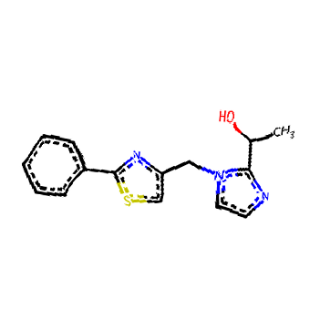 CC(O)c1nccn1Cc1csc(-c2ccccc2)n1